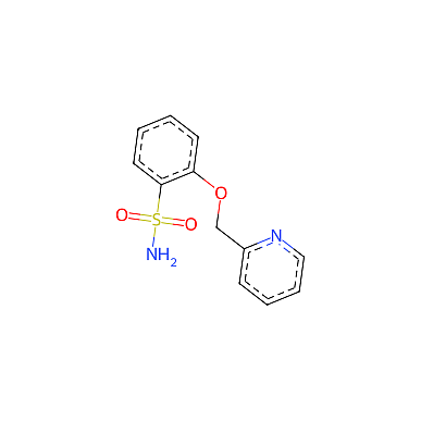 NS(=O)(=O)c1ccccc1OCc1ccccn1